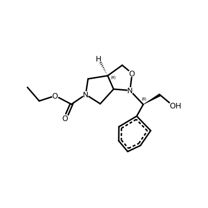 CCOC(=O)N1CC2[C@H](CON2[C@@H](CO)c2ccccc2)C1